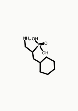 NCC(CC1CCCCC1)P(=O)(O)O